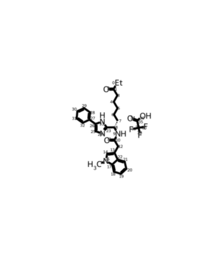 CCC(=O)CCCCC[C@H](NC(=O)Cc1cn(C)c2ccccc12)c1ncc(-c2ccccc2)[nH]1.O=C(O)C(F)(F)F